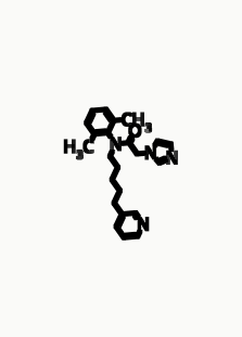 Cc1cccc(C)c1N(CCCCCc1cccnc1)C(=O)Cn1ccnc1